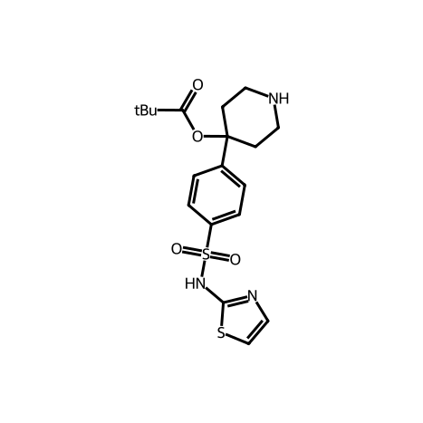 CC(C)(C)C(=O)OC1(c2ccc(S(=O)(=O)Nc3nccs3)cc2)CCNCC1